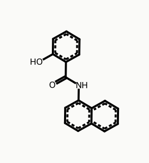 O=C(Nc1cccc2ccccc12)c1ccccc1O